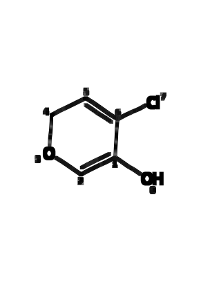 OC1=COCC=C1Cl